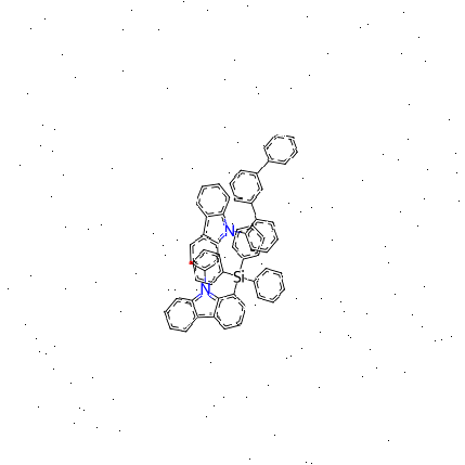 c1ccc(-c2cccc(-c3ccccc3-n3c4ccccc4c4ccc(-n5c6ccccc6c6cccc([Si](c7ccccc7)(c7ccccc7)c7ccccc7)c65)cc43)c2)cc1